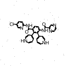 O=C(Nc1ccc(C(=O)Nc2ccc(Cl)cn2)c(C2=CC=CNC=C2)c1C1=CC=CNC=C1)c1cnccn1